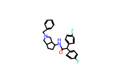 O=C(NC1CCC2CN(Cc3ccccc3)CC21)C(c1ccc(F)cc1)c1ccc(F)cc1